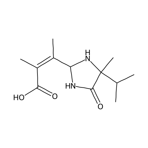 C/C(C(=O)O)=C(\C)C1NC(=O)C(C)(C(C)C)N1